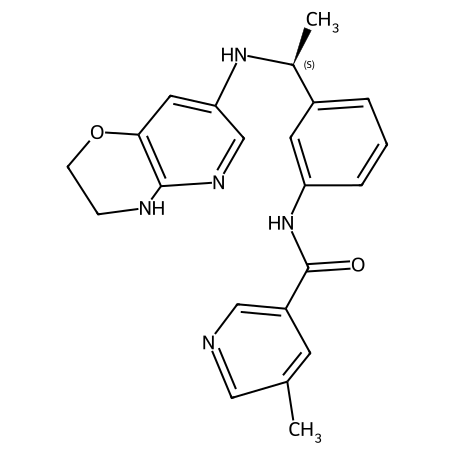 Cc1cncc(C(=O)Nc2cccc([C@H](C)Nc3cnc4c(c3)OCCN4)c2)c1